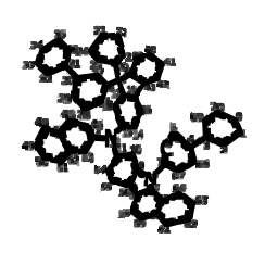 c1ccc(-c2ccc(-n3c4cc(N(c5ccc6c(c5)C(c5ccccc5)(c5cccc(-c7ccccc7)c5)c5ccccc5-6)c5ccc6ccccc6c5)ccc4c4ccc5ccccc5c43)cc2)cc1